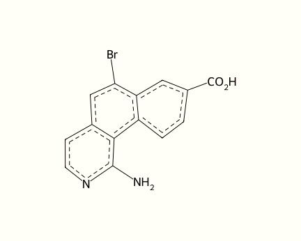 Nc1nccc2cc(Br)c3cc(C(=O)O)ccc3c12